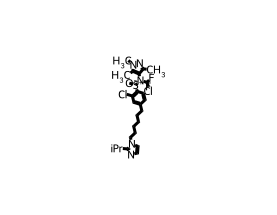 Cc1nn(C)c(C)c1N(C(F)F)[S+]([O-])c1c(Cl)cc(CCCCCCn2ccnc2C(C)C)cc1Cl